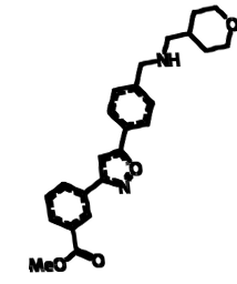 COC(=O)c1cccc(-c2cc(-c3ccc(CNCC4CCOCC4)cc3)on2)c1